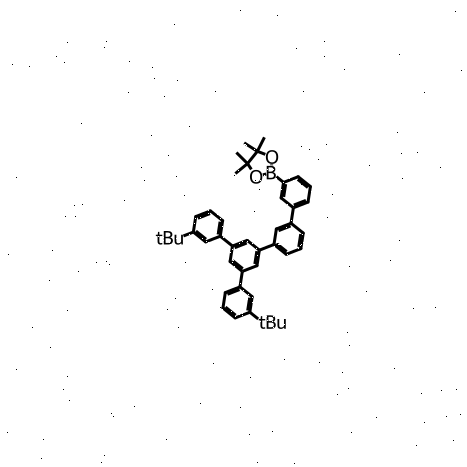 CC(C)(C)c1cccc(-c2cc(-c3cccc(-c4cccc(B5OC(C)(C)C(C)(C)O5)c4)c3)cc(-c3cccc(C(C)(C)C)c3)c2)c1